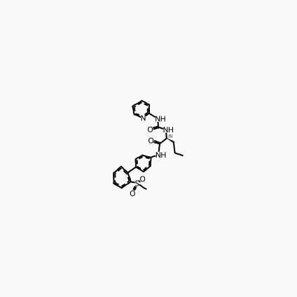 CCC[C@H](NC(=O)Nc1ccccn1)C(=O)Nc1ccc(-c2ccccc2S(C)(=O)=O)cc1